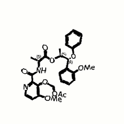 COc1ccccc1[C@@H](Oc1ccccc1)[C@H](C)OC(=O)[C@H](C)NC(=O)c1nccc(OC)c1OCOC(C)=O